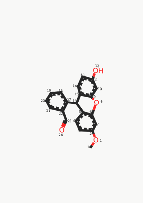 COc1ccc2c(c1)Oc1cc(O)ccc1C2c1ccccc1C=O